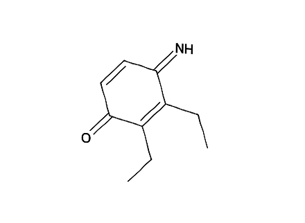 CCC1=C(CC)C(=O)C=CC1=N